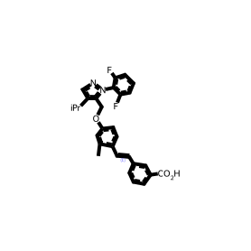 Cc1cc(OCc2c(C(C)C)cnn2-c2c(F)cccc2F)ccc1/C=C/c1cccc(C(=O)O)c1